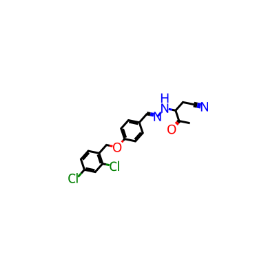 CC(=O)C(CC#N)NN=Cc1ccc(OCc2ccc(Cl)cc2Cl)cc1